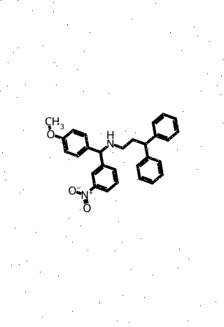 COc1ccc(C(NCCC(c2ccccc2)c2ccccc2)c2cccc([N+](=O)[O-])c2)cc1